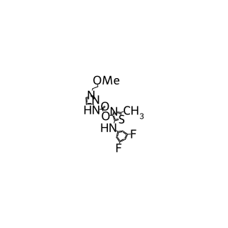 COCCn1ccc(NC(=O)Oc2nc(C)sc2Nc2cc(F)cc(F)c2)n1